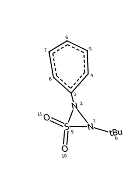 CC(C)(C)N1N(c2ccccc2)S1(=O)=O